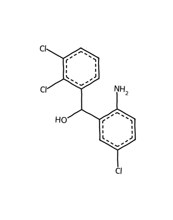 Nc1ccc(Cl)cc1C(O)c1cccc(Cl)c1Cl